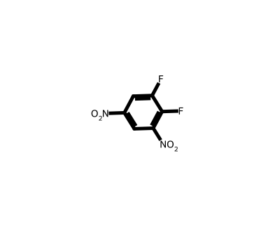 O=[N+]([O-])c1cc(F)c(F)c([N+](=O)[O-])c1